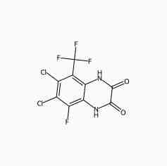 O=c1[nH]c2c(F)c(Cl)c(Cl)c(C(F)(F)F)c2[nH]c1=O